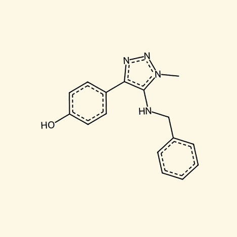 Cn1nnc(-c2ccc(O)cc2)c1NCc1ccccc1